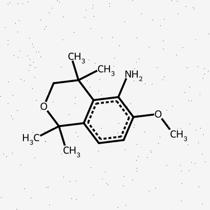 COc1ccc2c(c1N)C(C)(C)COC2(C)C